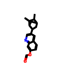 CC1C2CC(c3cnc4cc(OC=O)ccc4c3)C(C2)C1C